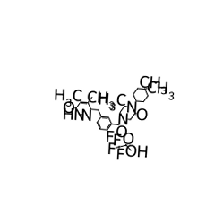 Cc1c(Cc2ccc(F)c(C(=O)N3CC(=O)N(C4CCC(C)(C)CC4)C(C)C3)c2)n[nH]c(=O)c1C.O=C(O)C(F)(F)F